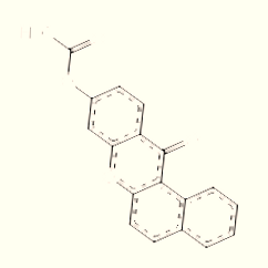 CC(=O)Oc1ccc2c(=O)c3c(ccc4ccccc43)oc2c1